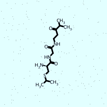 CC(C)SC[C@@H](N)C(=O)NCC(=O)NCCC(=O)C(C)C